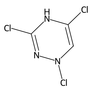 ClC1=CN(Cl)N=C(Cl)N1